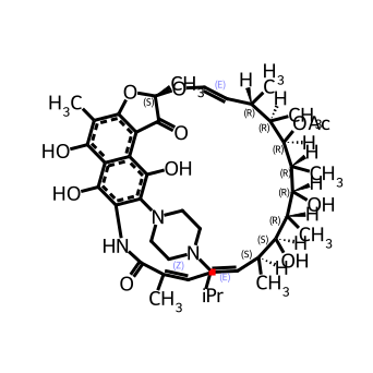 CC(=O)O[C@H]1[C@H](C)[C@H](O)[C@H](C)[C@@H](O)[C@@H](C)/C=C/C=C(/C)C(=O)Nc2c(N3CCN(CC(C)C)CC3)c(O)c3c4c(c(C)c(O)c3c2O)O[C@](C)(O/C=C/[C@H](C)[C@H]1C)C4=O